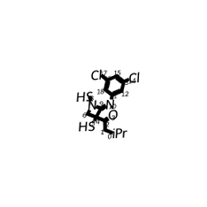 CC(C)CC(=O)C1(S)CN(S)C1=Nc1cc(Cl)cc(Cl)c1